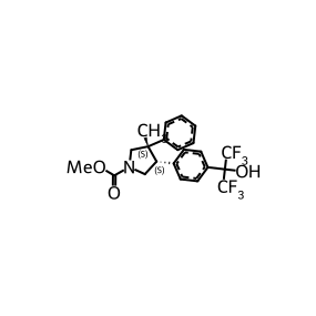 COC(=O)N1C[C@@H](c2ccc(C(O)(C(F)(F)F)C(F)(F)F)cc2)[C@@](C)(c2ccccc2)C1